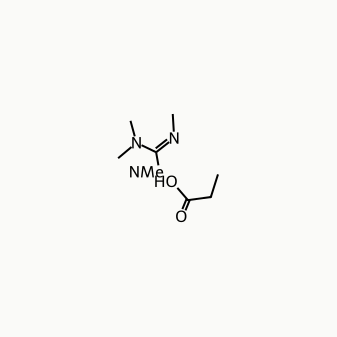 CCC(=O)O.CN=C(NC)N(C)C